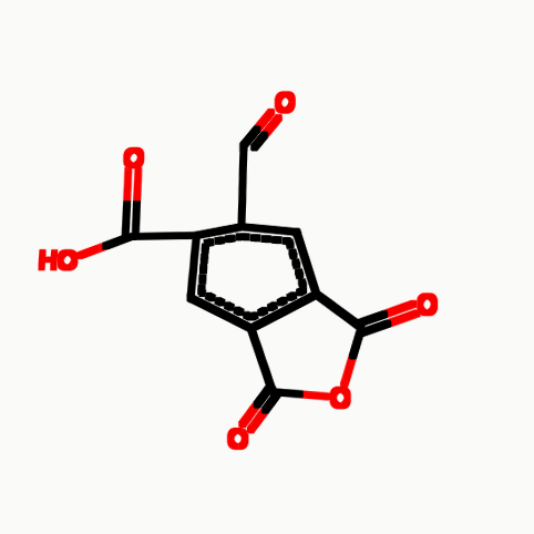 O=Cc1cc2c(cc1C(=O)O)C(=O)OC2=O